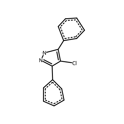 ClC1=C(c2ccccc2)[N]N=C1c1ccccc1